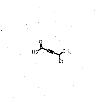 CCC(C)C#CC(=O)S